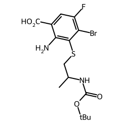 CC(CSc1c(N)c(C(=O)O)cc(F)c1Br)NC(=O)OC(C)(C)C